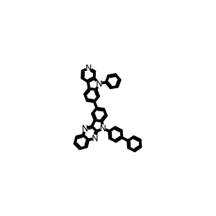 c1ccc(-c2ccc(-n3c4ccc(-c5ccc6c7ccncc7n(-c7ccccc7)c6c5)cc4c4nc5ccccc5nc43)cc2)cc1